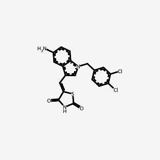 Nc1ccc2c(c1)c(C=C1SC(=O)NC1=O)cn2Cc1ccc(Cl)c(Cl)c1